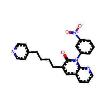 O=c1c(CCCCc2ccncc2)cc2cccnc2n1-c1cccc([N+](=O)[O-])c1